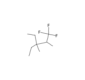 CCC(C)(CC)C(C)C(F)(F)F